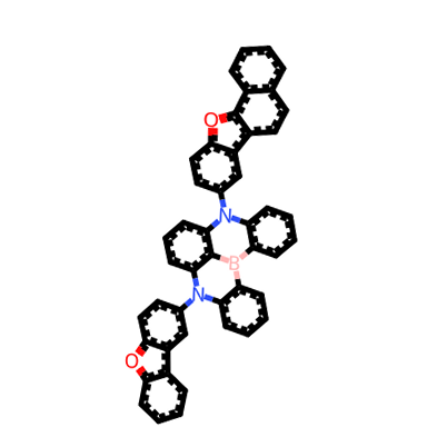 c1ccc2c(c1)B1c3ccccc3N(c3ccc4oc5c6ccccc6ccc5c4c3)c3cccc(c31)N2c1ccc2oc3ccccc3c2c1